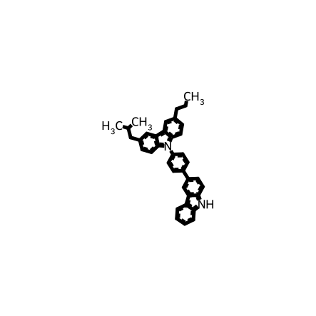 CCCc1ccc2c(c1)c1cc(CC(C)C)ccc1n2-c1ccc(-c2ccc3[nH]c4ccccc4c3c2)cc1